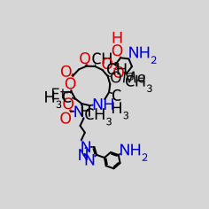 CC[C@H]1OC(=O)CC(=O)[C@H](C)[C@@H](O[C@@H]2O[C@H](C)CC(N)C2O)[C@](C)(OC)C[C@@H](C)CN[C@H](C)[C@H]2N(CCCCn3cc(-c4cccc(N)c4)nn3)C(=O)O[C@]12C